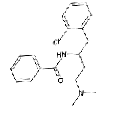 CN(C)CCC(Cc1ccccc1Cl)NC(=O)c1ccccc1